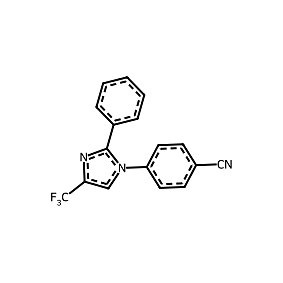 N#Cc1ccc(-n2cc(C(F)(F)F)nc2-c2ccccc2)cc1